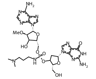 CO[C@@H]1C(O)[C@@H](COP(=O)(NCCCN(C)C)OC2C[C@H](n3cnc4c(=O)[nH]c(N)nc43)O[C@@H]2CO)O[C@H]1n1cnc2c(N)ncnc21